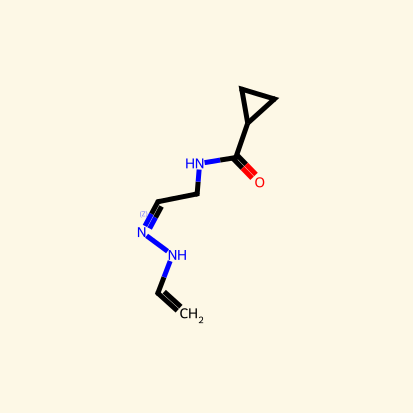 C=CN/N=C\CNC(=O)C1CC1